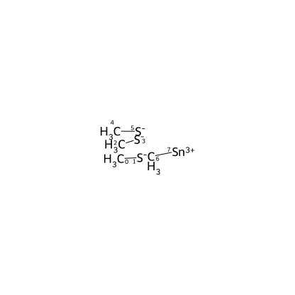 C[S-].C[S-].C[S-].[CH3][Sn+3]